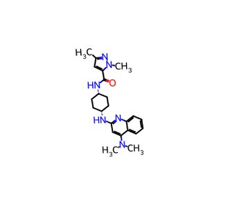 Cc1cc(C(=O)N[C@H]2CC[C@@H](Nc3cc(N(C)C)c4ccccc4n3)CC2)n(C)n1